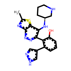 Cc1nc2nnc(-c3c(O)cccc3-c3cn[nH]c3)c(N[C@H]3CCCNC3)c2s1